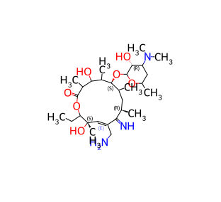 CCC1OC(=O)C(C)C(O)C(C)[C@@H](OC2OC(C)CC(N(C)C)[C@H]2O)C(C)C[C@@H](C)C(=N)/C(CN)=C/[C@]1(C)O